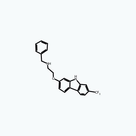 FC(F)(F)c1ccc2c(c1)[nH]c1cc(OCCNCc3ccccc3)ccc12